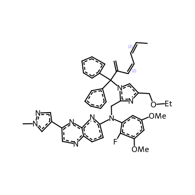 C=C(/C=C\C=C/C)C(c1ccccc1)(c1ccccc1)n1cc(COCC)nc1CN(c1ccc2ncc(-c3cnn(C)c3)nc2n1)c1cc(OC)cc(OC)c1F